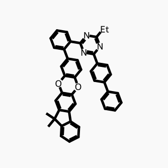 CCc1nc(-c2ccc(-c3ccccc3)cc2)nc(-c2ccccc2-c2ccc3c(c2)Oc2cc4c(cc2O3)-c2ccccc2C4(C)C)n1